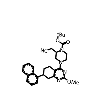 COc1nc2c(c(N3CCN(C(=O)OC(C)(C)C)C(CC#N)C3)n1)CCC(c1cccc3ccccc13)C2